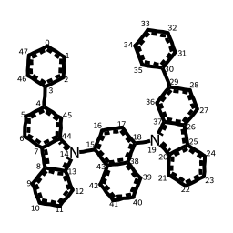 c1ccc(-c2ccc3c4ccccc4n(-c4ccc(-n5c6ccccc6c6ccc(-c7ccccc7)cc65)c5ccccc45)c3c2)cc1